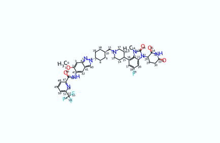 COc1cc2nn([C@H]3CC[C@H](CN4CCC(c5cc(F)cc6c5n(C)c(=O)n6C5CCC(=O)NC5=O)CC4)CC3)cc2cc1NC(=O)c1cccc(C(F)(F)F)n1